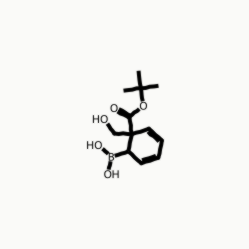 CC(C)(C)OC(=O)C1(CO)C=CC=CC1B(O)O